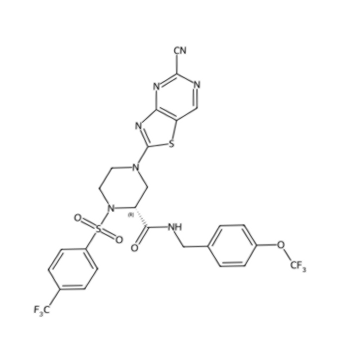 N#Cc1ncc2sc(N3CCN(S(=O)(=O)c4ccc(C(F)(F)F)cc4)[C@@H](C(=O)NCc4ccc(OC(F)(F)F)cc4)C3)nc2n1